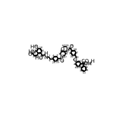 O=C(c1ccc(CCNC[C@H](O)c2ccc(O)c3[nH]c(=O)ccc23)cc1)N1CCC2(CC1)CN(C(=O)c1ccc(COc3cccc([C@](O)(C(=O)O)c4ccccc4)c3)cc1)CCO2